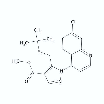 COC(=O)c1cnn(-c2ccnc3cc(Cl)ccc23)c1CSC(C)(C)C